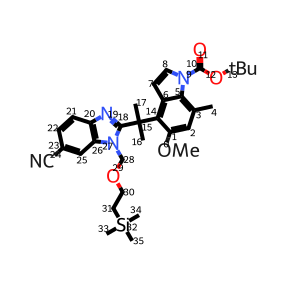 COc1cc(C)c2c(ccn2C(=O)OC(C)(C)C)c1C(C)(C)c1nc2ccc(C#N)cc2n1COCC[Si](C)(C)C